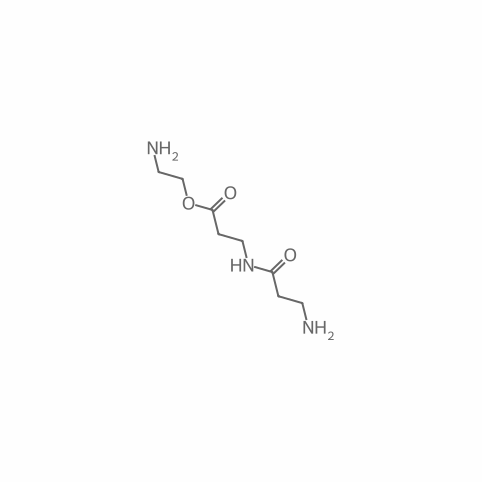 NCCOC(=O)CCNC(=O)CCN